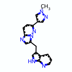 Cn1cc(-c2ccc3ncc(Cc4c[nH]c5ncccc45)n3n2)cn1